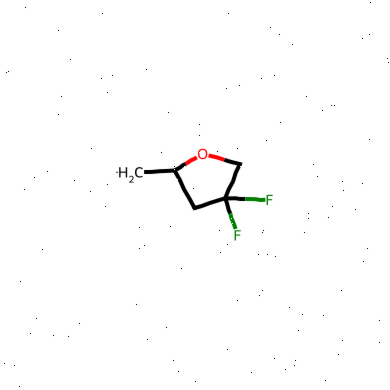 [CH2]C1CC(F)(F)CO1